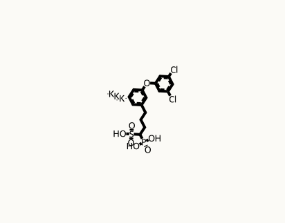 O=P(O)(O)C(CCCc1cccc(Oc2cc(Cl)cc(Cl)c2)c1)S(=O)(=O)O.[K].[K].[K]